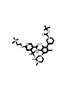 C[C@H]1CN(c2cc(F)c(C3=CCCN(C(=O)OC(C)(C)C)C3)c(F)c2NC(=O)c2cnc(OCCS(C)(C)C)cc2C(F)(F)F)CCN1C